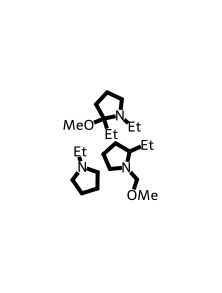 CCC1CCCN1COC.CCN1CCCC1.CCN1CCCC1(CC)OC